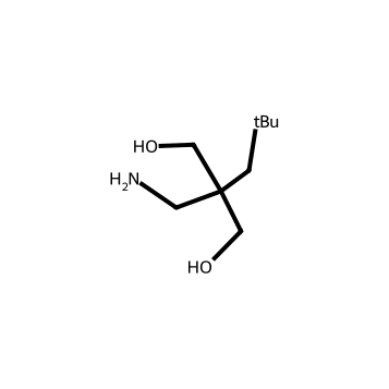 CC(C)(C)CC(CN)(CO)CO